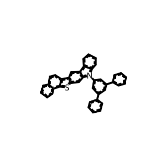 c1ccc(-c2cc(-c3ccccc3)cc(-n3c4ccccc4c4cc5c(cc43)sc3c4ccccc4ccc53)c2)cc1